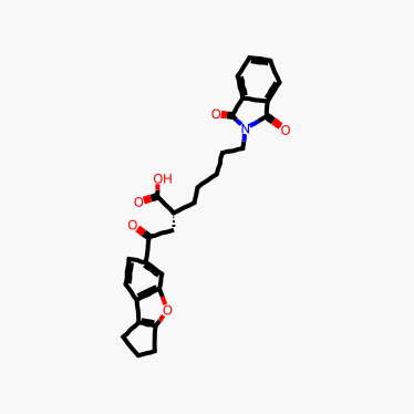 O=C(C[C@@H](CCCCCN1C(=O)c2ccccc2C1=O)C(=O)O)c1ccc2c3c(oc2c1)CCC3